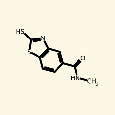 CNC(=O)c1ccc2sc(S)nc2c1